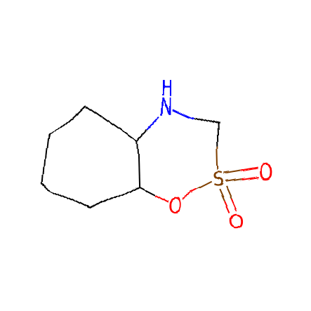 O=S1(=O)CNC2CCCCC2O1